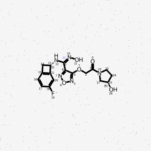 O=C(COc1nonc1/C(=N\O)N[C@H]1Cc2ccc(F)cc21)N1CC[C@@H](O)C1